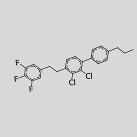 CCCc1ccc(-c2ccc(CCc3cc(F)c(F)c(F)c3)c(Cl)c2Cl)cc1